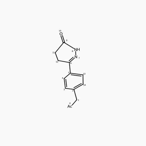 CC(=O)Cc1ccc(C2=NNC(=O)CC2)cc1